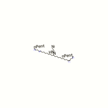 CCCCC/C=C\C/C=C\CCCCCCCCC(CCCCCCC/C=C/C/C=C\CCCCC)=NNCCN(C)C